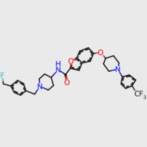 O=C(NC1CCN(Cc2ccc(CF)cc2)CC1)c1cc2cc(OC3CCN(c4ccc(C(F)(F)F)cc4)CC3)ccc2o1